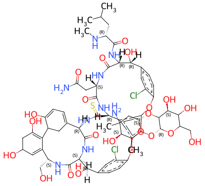 CN[C@H](CC(C)C)C(=O)N[C@H]1C(=O)N[C@@H](CC(N)=O)C(=O)N[C@H]2C(=S)N[C@H]3C(=O)N[C@H](C(=O)N[C@H](CO)C4=CC(O)CC(O)=C4C4CC3=CC=C4O)[C@H](O)c3ccc(c(Cl)c3)Oc3cc2cc(c3O[C@H]2OC(CO)C(O)[C@H](O)C2O[C@H]2CC(C)(N)[C@H](O)C(C)O2)Oc2ccc(cc2Cl)[C@H]1O